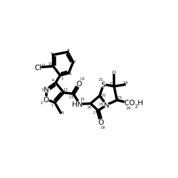 Cc1onc(-c2ccccc2Cl)c1C(=O)NC1C(=O)N2C1SC(C)(C)C2C(=O)O